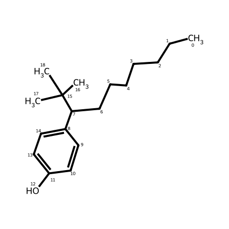 CCCCCCCC(c1ccc(O)cc1)C(C)(C)C